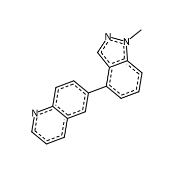 Cn1ncc2c(-c3ccc4ncccc4c3)cccc21